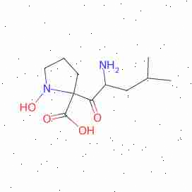 CC(C)CC(N)C(=O)C1(C(=O)O)CCCN1O